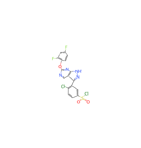 O=S(=O)(Cl)c1ccc(Cl)c(-c2n[nH]c3nc(Oc4ccc(F)cc4F)ncc23)c1